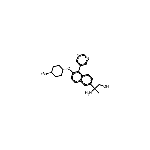 CC(C)(C)[C@H]1CC[C@H](Oc2ccc3cc([C@@](C)(N)CO)ccc3c2-c2cncnc2)CC1